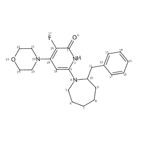 O=c1[nH]c(N2CCCCCC2Cc2ccccc2)cc(N2CCOCC2)c1F